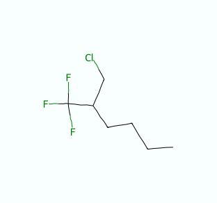 CCCCC(CCl)C(F)(F)F